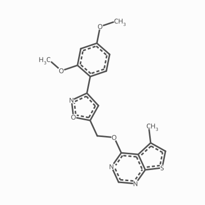 COc1ccc(-c2cc(COc3ncnc4scc(C)c34)on2)c(OC)c1